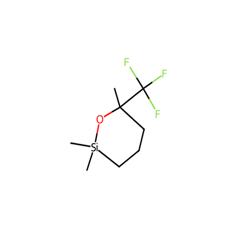 CC1(C(F)(F)F)CCC[Si](C)(C)O1